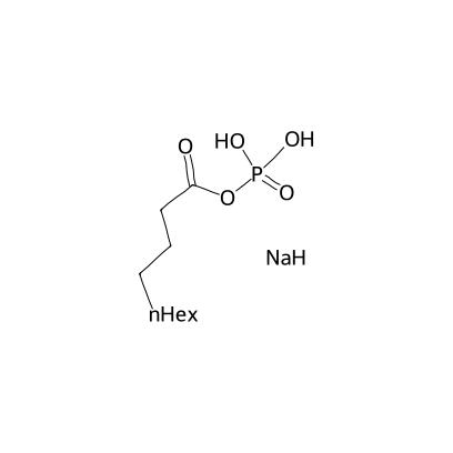 CCCCCCCCCC(=O)OP(=O)(O)O.[NaH]